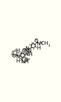 CCNC(=O)c1ccc(-c2nc(Nc3ccc(NC4CCCCO4)c(C=N)c3C3CC3)n(C)n2)cc1